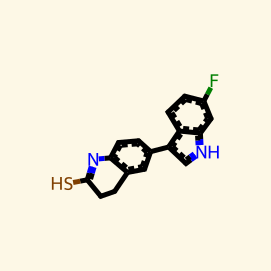 Fc1ccc2c(-c3ccc4c(c3)CCC(S)=N4)c[nH]c2c1